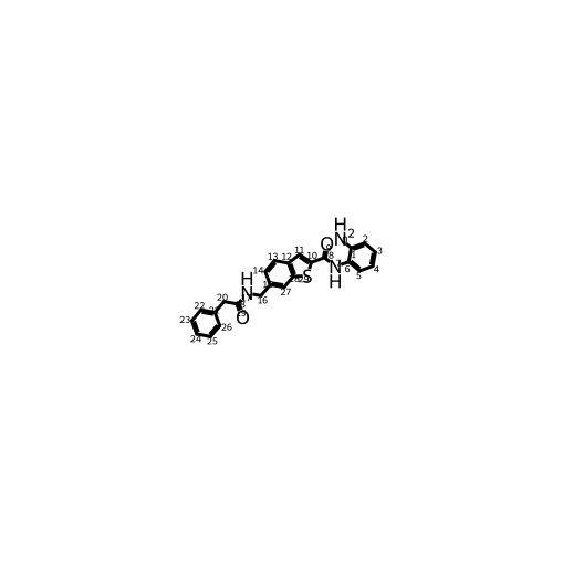 Nc1ccccc1NC(=O)c1cc2ccc(CNC(=O)Cc3ccccc3)cc2s1